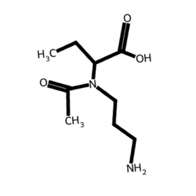 CCC(C(=O)O)N(CCCN)C(C)=O